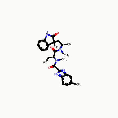 CC(C)C[C@@H](C(=O)N(C)[C@H](C#N)C[C@@]1(C)C(=O)Nc2ccccc21)N(C)C(=O)c1nc2cc(C(F)(F)F)ccc2[nH]1